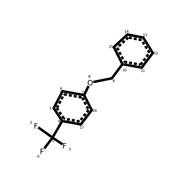 FC(F)(F)c1c[c]c(OCc2ccccc2)cc1